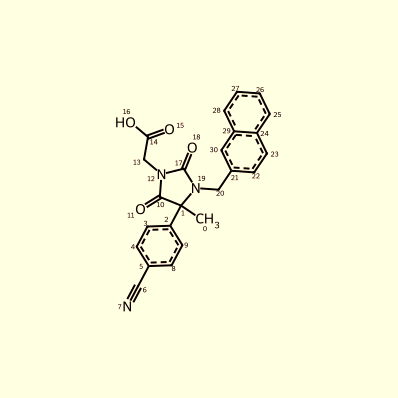 CC1(c2ccc(C#N)cc2)C(=O)N(CC(=O)O)C(=O)N1Cc1ccc2ccccc2c1